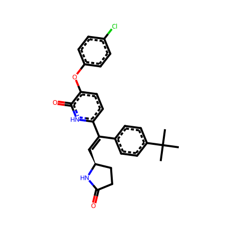 CC(C)(C)c1ccc(/C(=C\[C@H]2CCC(=O)N2)c2ccc(Oc3ccc(Cl)cc3)c(=O)[nH]2)cc1